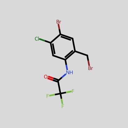 O=C(Nc1cc(Cl)c(Br)cc1CBr)C(F)(F)F